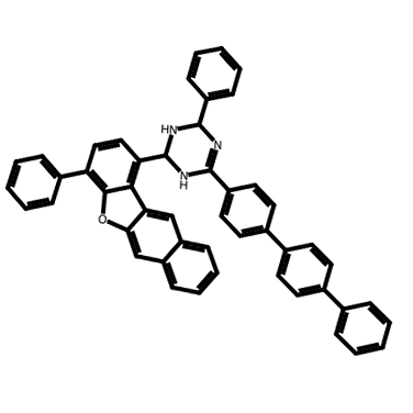 c1ccc(-c2ccc(-c3ccc(C4=NC(c5ccccc5)NC(c5ccc(-c6ccccc6)c6oc7cc8ccccc8cc7c56)N4)cc3)cc2)cc1